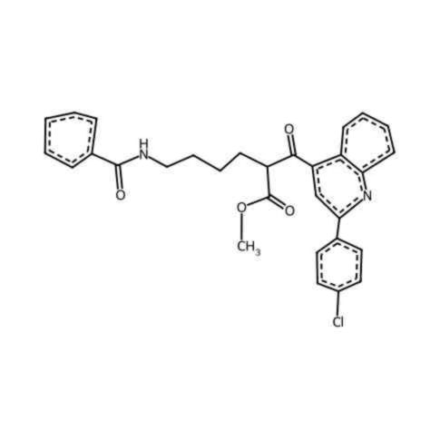 COC(=O)C(CCCCNC(=O)c1ccccc1)C(=O)c1cc(-c2ccc(Cl)cc2)nc2ccccc12